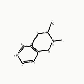 CC(=O)C1Cc2cnccc2CN1C